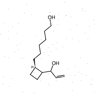 C=CC(O)C1CC[C@H]1CCCCCCO